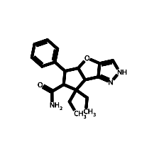 CCC1(CC)C(C(N)=O)C(c2ccccc2)C2Oc3c[nH]nc3C21